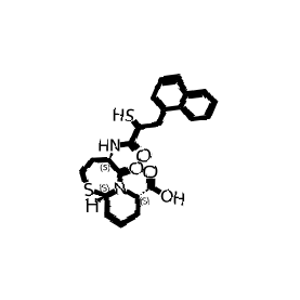 O=C(N[C@H]1CCS[C@H]2CCC[C@@H](C(=O)O)N2C1=O)C(S)Cc1cccc2ccccc12